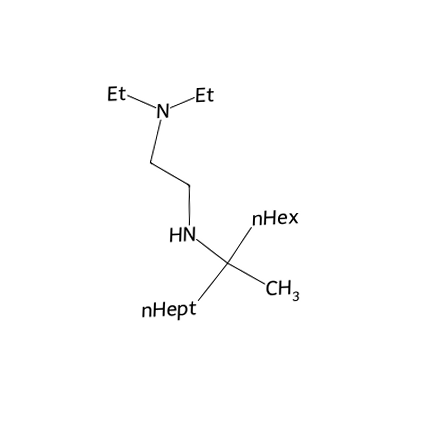 CCCCCCCC(C)(CCCCCC)NCCN(CC)CC